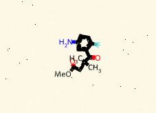 COC(=O)CC(C)(C)C(=O)c1cc(N)ccc1F